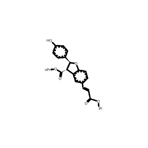 CCCOC(=O)[C@H]1c2cc(/C=C/C(=O)OC(C)C)ccc2O[C@@H]1c1ccc(O)cc1